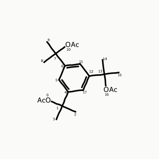 CC(=O)OC(C)(C)c1cc(C(C)(C)OC(C)=O)cc(C(C)(C)OC(C)=O)c1